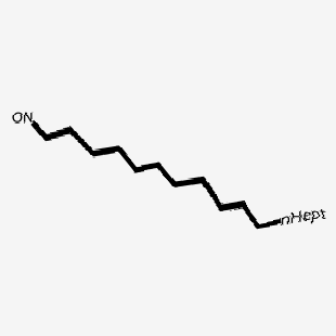 CCCCCCCCCCCCCCCCCCN=O